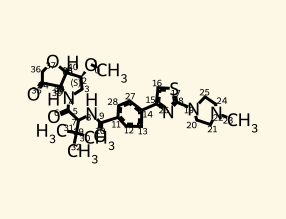 CO[C@H]1CN(C(=O)C(NC(=O)c2ccc(-c3csc(N4CCN(C)CC4)n3)cc2)C(C)(C)C)[C@@H]2C(=O)CO[C@H]12